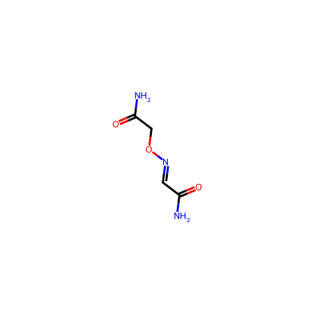 NC(=O)C=NOCC(N)=O